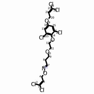 ClC(Cl)=CCO/N=C/CCOCCOc1c(Cl)cc(OCC=C(Cl)Cl)cc1Cl